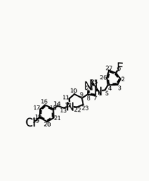 Fc1ccc(Cn2cc(C3CCN(CCc4ccc(Cl)cc4)CC3)nn2)cc1